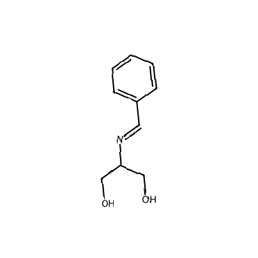 OCC(CO)N=Cc1ccccc1